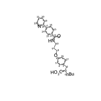 CCCCC(Cc1ccc(OCCCNC(=O)c2ccc(-c3ccccn3)cc2)cc1)C(=O)O